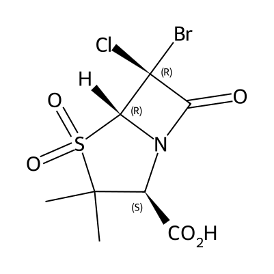 CC1(C)[C@H](C(=O)O)N2C(=O)[C@@](Cl)(Br)[C@H]2S1(=O)=O